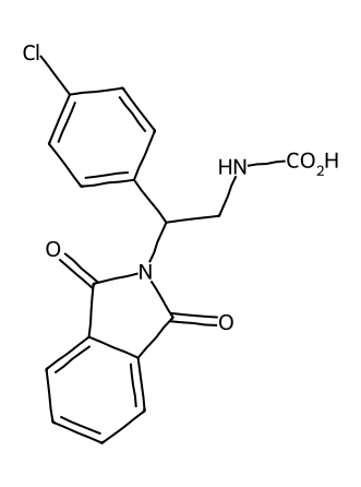 O=C(O)NCC(c1ccc(Cl)cc1)N1C(=O)c2ccccc2C1=O